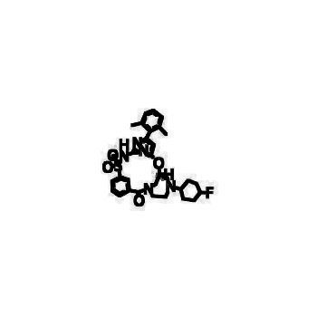 Cc1cccc(C)c1-c1cc2nc(n1)NS(=O)(=O)c1cccc(c1)C(=O)N1CCN(C3CCC(F)CC3)C[C@H](C1)O2